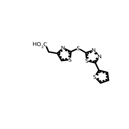 O=C(O)Cc1csc(Sc2nnc(-c3cccs3)s2)n1